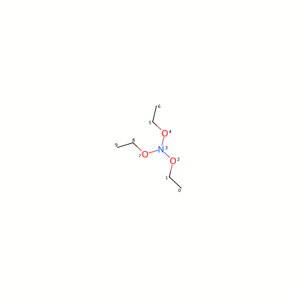 CCON(OCC)OCC